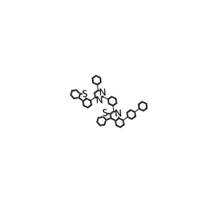 c1ccc(-c2ccc(-c3cccc4c3nc(-c3cccc(-c5nc(-c6ccccc6)cc(-c6cccc7c6sc6ccccc67)n5)c3)c3sc5ccccc5c34)cc2)cc1